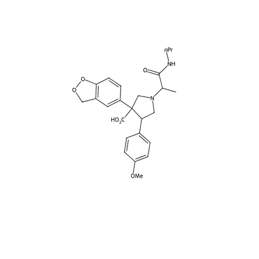 CCCNC(=O)C(C)N1CC(c2ccc(OC)cc2)C(C(=O)O)(c2ccc3c(c2)COO3)C1